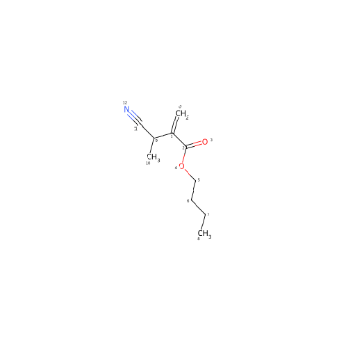 C=C(C(=O)OCCCC)C(C)C#N